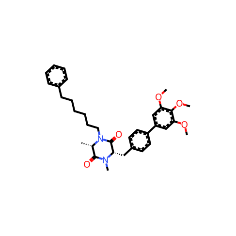 COc1cc(-c2ccc(C[C@H]3C(=O)N(CCCCCCc4ccccc4)[C@@H](C)C(=O)N3C)cc2)cc(OC)c1OC